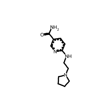 NC(=O)c1ccc(NCCN2CCCC2)nc1